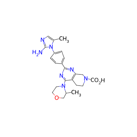 Cc1cnc(N)n1-c1ccc(-c2nc3c(c(N4CCOCC4C)n2)CCN(C(=O)O)C3)cc1